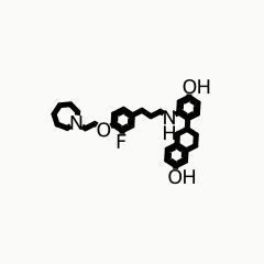 Oc1ccc2c(c1)CCC(c1ccc(O)cc1NCCCc1ccc(OCCN3CCCCCC3)c(F)c1)C2